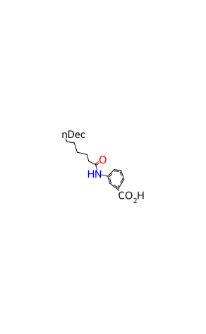 CCCCCCCCCCCCCCCC(=O)Nc1cccc(C(=O)O)c1